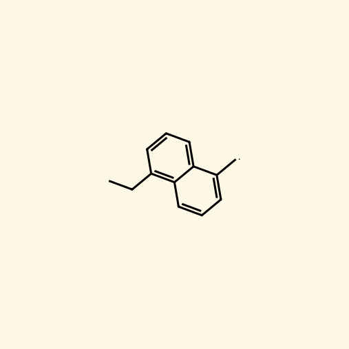 [CH2]c1cccc2c(CC)cccc12